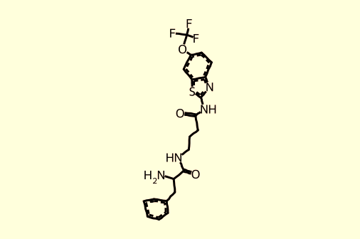 NC(Cc1ccccc1)C(=O)NCCCC(=O)Nc1nc2ccc(OC(F)(F)F)cc2s1